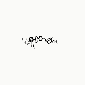 Cc1ccc(C(=O)OC2CCC(CCC3CCC(C)C(=O)O3)CC2)c(C)c1C